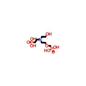 O=P(O)(O)CCN(CCO)CCOCP(=O)(O)O